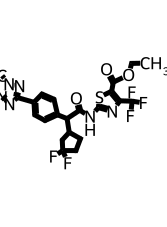 CCOC(=O)c1sc(NC(=O)C(c2ccc(-c3nnn(C)n3)cc2)C2CCC(F)(F)C2)nc1C(F)(F)F